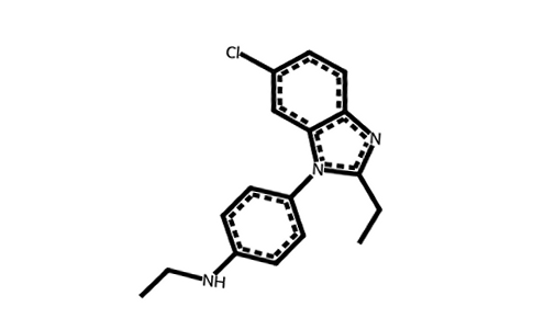 CCNc1ccc(-n2c(CC)nc3ccc(Cl)cc32)cc1